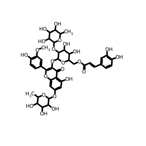 COc1cc(-c2oc3cc(OC4OC(C)C(O)C(O)C4O)cc(O)c3c(=O)c2OC2OC(COC(=O)/C=C/c3ccc(O)c(O)c3)C(O)C(O)C2OC2OC(C)C(O)C(O)C2O)ccc1O